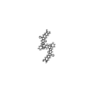 O=C1C(=Cc2cc3c(s2)-c2cc4c(cc2OC32CCCCC2)-c2sc(C=C3C(=O)c5cc6cc(F)c(F)cc6cc5C3=O)cc2C2(CCCCC2)O4)C(=O)c2cc3cc(F)c(F)cc3cc21